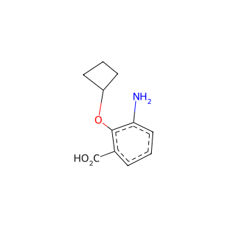 Nc1cccc(C(=O)O)c1OC1CCC1